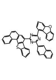 c1ccc2cc(-c3nc(-c4cccc5oc6ccccc6c45)nc(-c4cc5ccc6ccccc6c5c5sc6ccccc6c45)n3)ccc2c1